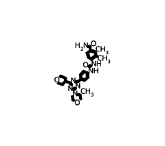 Cc1c(NC(=O)Nc2ccc(-c3nc(C4CCOCC4)nc(N4CCOCC4C)n3)cc2)ccc(C(N)=O)c1C